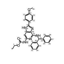 CCOC(=O)Nc1cc2[nH]c(-c3ccc(OC)cc3)nc2c(NC(c2ccccc2)c2ccccc2)n1